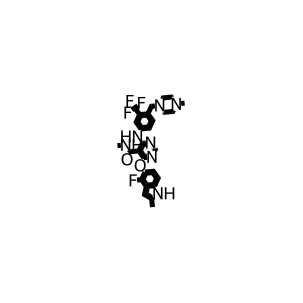 CNC(=O)c1c(Nc2ccc(CN3CCN(C)CC3)c(C(F)(F)F)c2)ncnc1Oc1ccc2[nH]c(C)cc2c1F